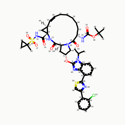 CC(C)n1c(O[C@@H]2C[C@H]3C(=O)N[C@]4(C(=O)NS(=O)(=O)C5(C)CC5)C[C@H]4/C=C\CCCCC[C@H](NC(=O)OC(C)(C)C)C(=O)N3C2)nc2c(-c3nc(-c4ccccc4Cl)cs3)cccc21